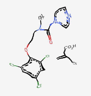 C=C(C#N)C(=O)O.CCCN(CCOc1c(Cl)cc(Cl)cc1Cl)C(=O)n1ccnc1